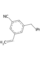 C=[C]c1cc(C#N)cc(CC(C)C)c1